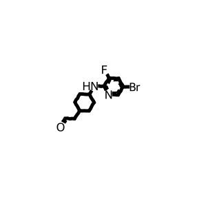 O=CCC1CCC(Nc2ncc(Br)cc2F)CC1